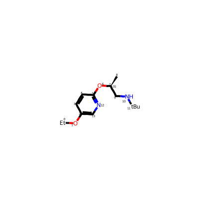 CCOc1ccc(O[C@@H](C)CNC(C)(C)C)nc1